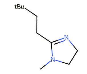 CN1CCN=C1CCC(C)(C)C